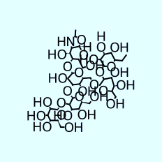 CCC1O[C@H](OC2[C@@H](OCC3O[C@@H](O[C@@H]4C(CO)O[C@@H]5OC(C)NC5[C@H]4O)C(O)[C@@H](O[C@H]4O[C@@H](CO)[C@@H](O)C(O)C4O[C@H]4O[C@@H](CO)[C@@H](O)C(O)C4O)[C@@H]3O)OC(CO)[C@@H](O)[C@@H]2O)C(O)[C@@H](O)[C@@H]1O